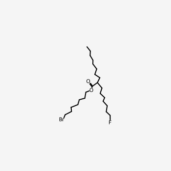 CCCCCCCCC(CCCCCCCF)C(=O)OCCCCCCCBr